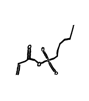 C=CC(=O)OS(=O)(=O)CCCC